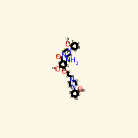 COc1cc(C(=O)N2CCN(c3ccccc3OC)CC2)c(N)cc1OCCCN1CCN(c2ccccc2OC)CC1